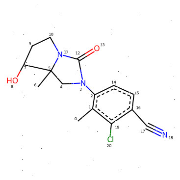 Cc1c(N2CC3(C)C(O)CCN3C2=O)ccc(C#N)c1Cl